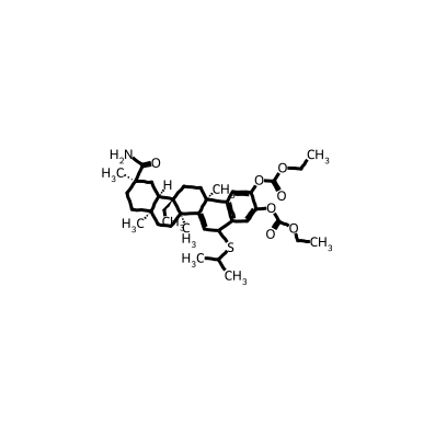 CCOC(=O)Oc1cc2c(cc1OC(=O)OCC)[C@]1(C)CC[C@@]3(CC)[C@@H]4C[C@](C)(C(N)=O)CC[C@]4(C)CC[C@]3(C)C1=CC2SC(C)C